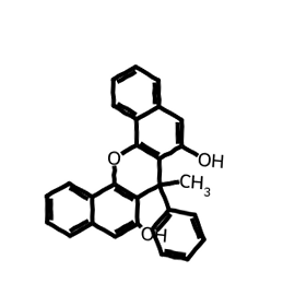 CC1(c2ccccc2)c2c(O)cc3ccccc3c2Oc2c1c(O)cc1ccccc21